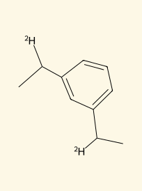 [2H]C(C)c1cccc(C([2H])C)c1